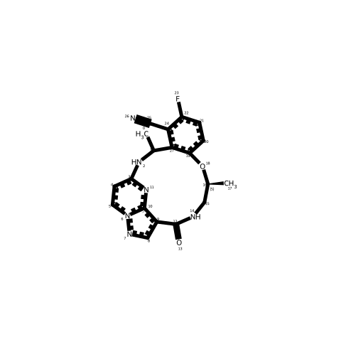 CC1Nc2ccn3ncc(c3n2)C(=O)NC[C@H](C)Oc2ccc(F)c(C#N)c21